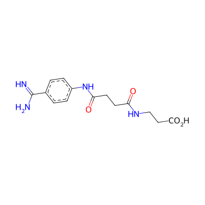 N=C(N)c1ccc(NC(=O)CCC(=O)NCCC(=O)O)cc1